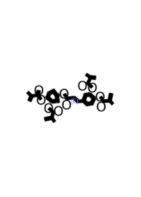 C=C(C)C(=O)Oc1ccc(/C=C/C(=O)Oc2ccc(OC(=O)C(=C)C)c(OC(=O)C(=C)C)c2)cc1OC(=O)C(=C)C